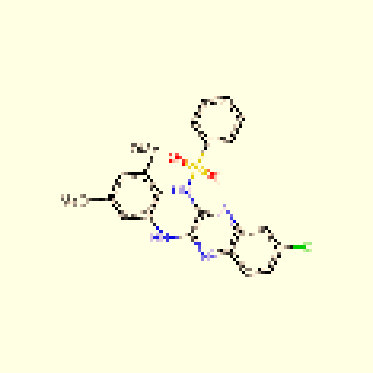 COc1cc(Nc2nc3ccc(Cl)cc3nc2NS(=O)(=O)c2ccccc2)cc(OC)c1